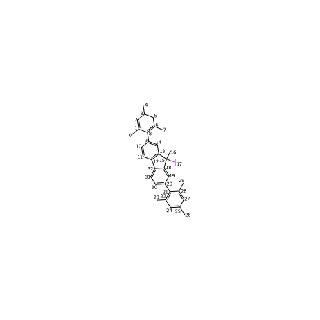 CC1=CC(C)CC(C)=C1c1ccc2c(c1)C(C)(I)c1cc(-c3c(C)cc(C)cc3C)ccc1-2